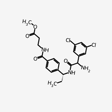 CC[C@@H](NC(=O)C(N)c1cc(Cl)cc(Cl)c1)c1ccc(C(=O)NCCC(=O)OC)cc1